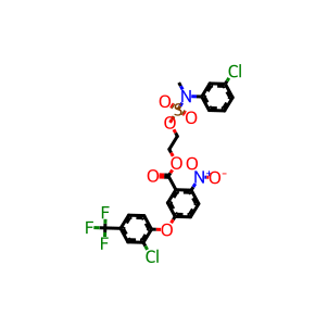 CN(c1cccc(Cl)c1)S(=O)(=O)OCCOC(=O)c1cc(Oc2ccc(C(F)(F)F)cc2Cl)ccc1[N+](=O)[O-]